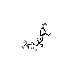 CC(C)(CO[Si](C)(C)C(C)(C)C)Cc1ccc(N)cc1CF